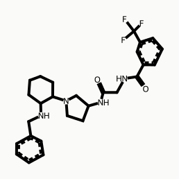 O=C(CNC(=O)c1cccc(C(F)(F)F)c1)NC1CCN(C2CCCCC2NCc2ccccc2)C1